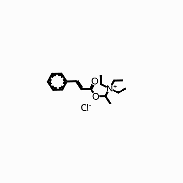 CC[N+](CC)(CC)C(C)OC(=O)C=Cc1ccccc1.[Cl-]